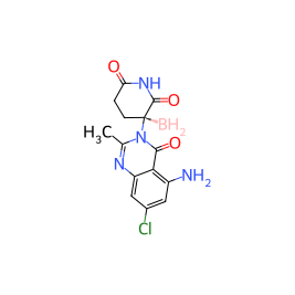 B[C@@]1(n2c(C)nc3cc(Cl)cc(N)c3c2=O)CCC(=O)NC1=O